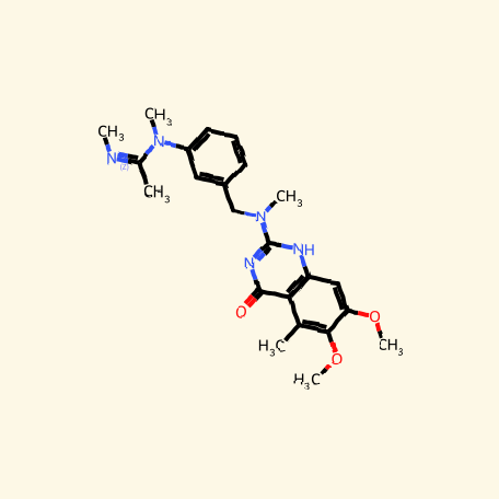 C/N=C(/C)N(C)c1cccc(CN(C)c2nc(=O)c3c(C)c(OC)c(OC)cc3[nH]2)c1